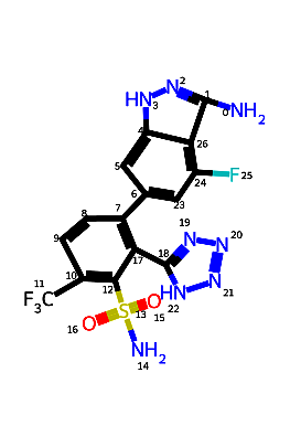 Nc1n[nH]c2cc(-c3ccc(C(F)(F)F)c(S(N)(=O)=O)c3-c3nnn[nH]3)cc(F)c12